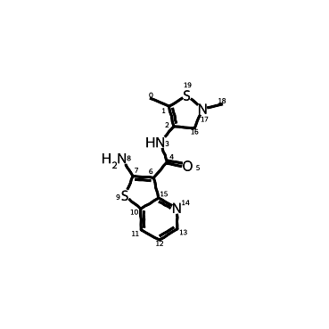 CC1=C(NC(=O)c2c(N)sc3cccnc23)CN(C)S1